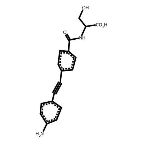 Nc1ccc(C#Cc2ccc(C(=O)NC(CO)C(=O)O)cc2)cc1